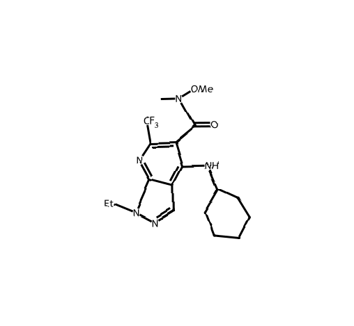 CCn1ncc2c(NC3CCCCC3)c(C(=O)N(C)OC)c(C(F)(F)F)nc21